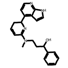 CN(CCC(O)c1ccccc1)C1=NC(c2ccnc3[nH]ccc23)CC=C1